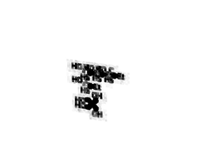 CCC(S)C(=O)O.CCC(S)C(=O)O.CCC(S)C(=O)O.CCC(S)C(=O)O.OCC(CO)(CO)CO